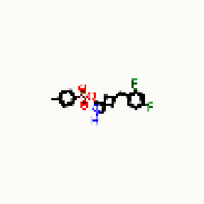 Cc1ccc(S(=O)(=O)OC2NCC23CC(Cc2ccc(F)cc2F)C3)cc1